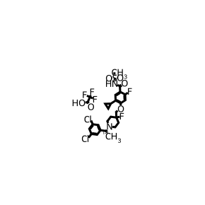 C[C@@H](c1cc(Cl)cc(Cl)c1)N1CCC(F)(COc2cc(F)c(C(=O)NS(C)(=O)=O)cc2C2CC2)CC1.O=C(O)C(F)(F)F